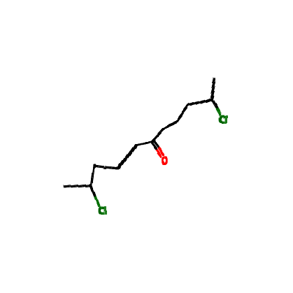 CC(Cl)CCCC(=O)CCCC(C)Cl